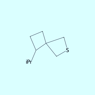 CC(C)C1CCC12CSC2